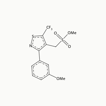 COc1cccc(-c2nsc(C(F)(F)F)c2CS(=O)(=O)OC)c1